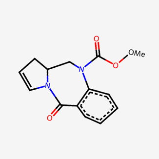 COOC(=O)N1CC2CC=CN2C(=O)c2ccccc21